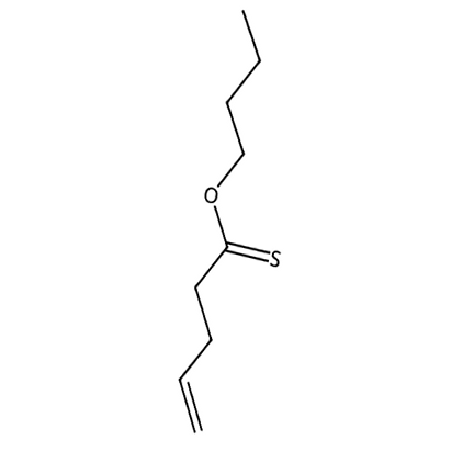 C=CCCC(=S)OCCCC